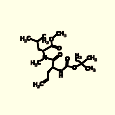 C=CC[C@H](NC(=O)OC(C)(C)C)C(=O)N(C)[C@@H](CC(C)C)C(=O)OC